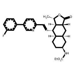 CCOC(=O)N[C@H]1CC[C@@H]2[C@H](C1)C[C@H]1C(=O)O[C@@H](C)[C@@H]1[C@H]2/C=C/c1ccc(-c2cccc(F)c2)cn1